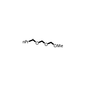 CCC[CH]OCOCOC